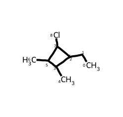 CC[C]1C(C)C(C)C1Cl